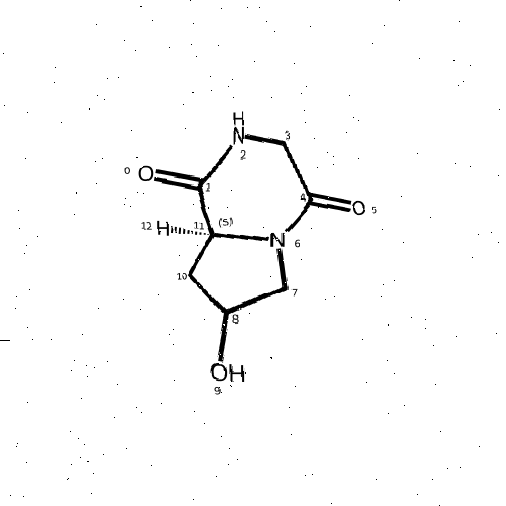 O=C1NCC(=O)N2CC(O)C[C@@H]12